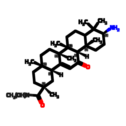 CN(O)C(=O)[C@@]1(C)CC[C@]2(C)CC[C@]3(C)C(=CC(=O)[C@@H]4[C@@]5(C)CC[C@H](N)C(C)(C)C5CC[C@]43C)[C@H]2C1